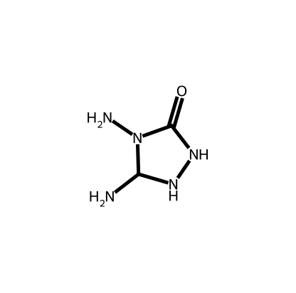 NC1NNC(=O)N1N